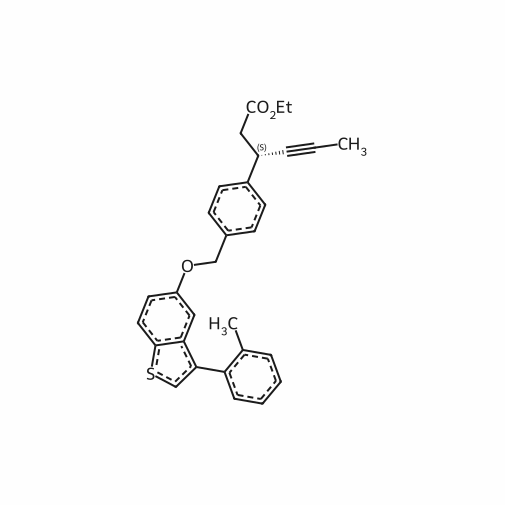 CC#C[C@@H](CC(=O)OCC)c1ccc(COc2ccc3scc(-c4ccccc4C)c3c2)cc1